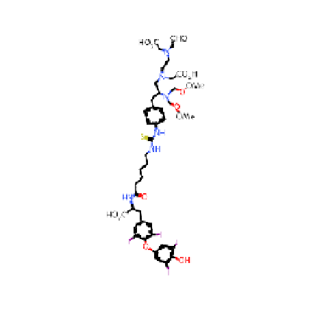 COOCN(COOC)C(Cc1ccc(NC(=S)NCCCCCC(=O)NC(Cc2cc(I)c(Oc3cc(I)c(O)c(I)c3)c(I)c2)C(=O)O)cc1)CN(CCN(CC=O)CC(=O)O)CC(=O)O